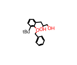 CC(C)(C)c1cccc(CC(O)CO)c1OCc1ccccc1